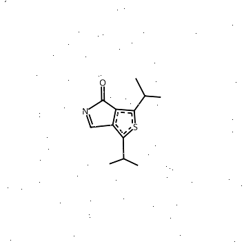 CC(C)c1sc(C(C)C)c2c1C=NC2=O